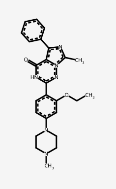 CCOc1cc(N2CCN(C)CC2)ccc1-c1nn2c(C)nc(-c3ccccc3)c2c(=O)[nH]1